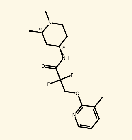 Cc1cccnc1OCC(F)(F)C(=O)N[C@@H]1CCN(C)[C@H](C)C1